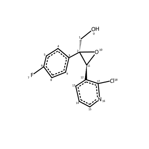 OC[C@]1(c2ccc(F)cc2)O[C@H]1c1cccnc1Cl